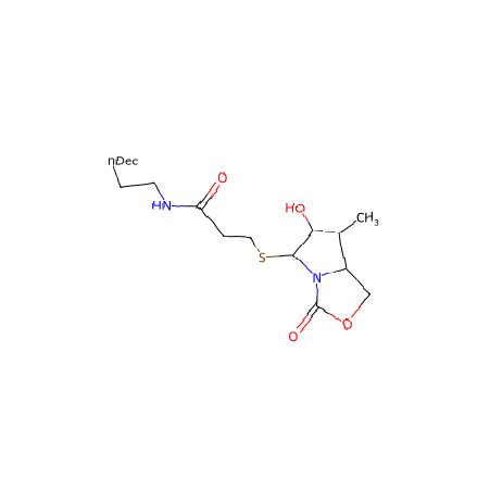 CCCCCCCCCCCCNC(=O)CCSC1C(O)C(C)C2COC(=O)N21